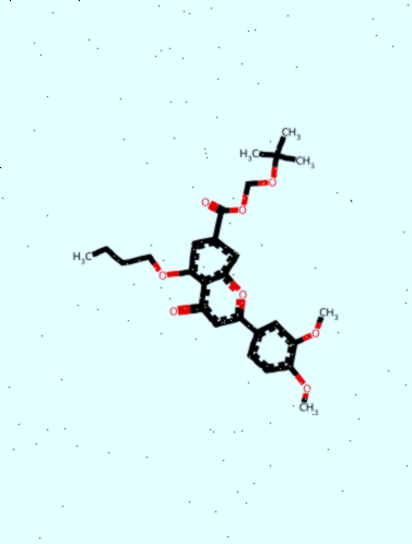 CCCCOc1cc(C(=O)OCOC(C)(C)C)cc2oc(-c3ccc(OC)c(OC)c3)cc(=O)c12